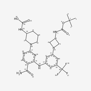 CC(C)(C)OC(=O)NC1CN(c2cc(Nc3nc(N4CCCC(NC(=O)O)C4)ncc3C(N)=O)cc(C(F)(F)F)c2)C1